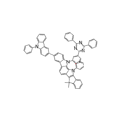 CC1(C)c2ccccc2-c2c1c1ccc3c4cc(-c5ccc6c(c5)c5ccccc5n6-c5ccccc5)ccc4n(-c4cccc(-c5nc(-c6ccccc6)nc(-c6ccccc6)n5)c4)c3c1n2-c1ccccc1